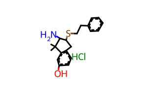 CC1(C)c2cc(O)ccc2CC(SCCc2ccccc2)C1N.Cl